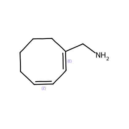 NC/C1=C/C=C\CCCC1